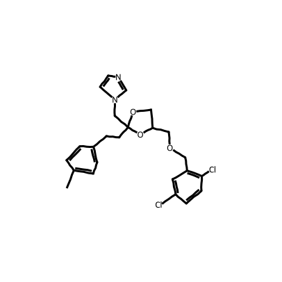 Cc1ccc(CCC2(Cn3ccnc3)OCC(COCc3cc(Cl)ccc3Cl)O2)cc1